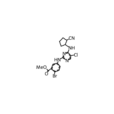 COC(=O)c1cc(Nc2ncc(Cl)c(NC3CCCC3C#N)n2)ccc1Br